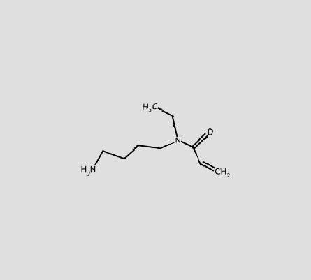 C=CC(=O)N(CC)CCCCN